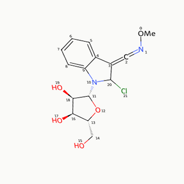 CON=C=C1c2ccccc2N([C@@H]2O[C@H](CO)[C@@H](O)[C@H]2O)C1Cl